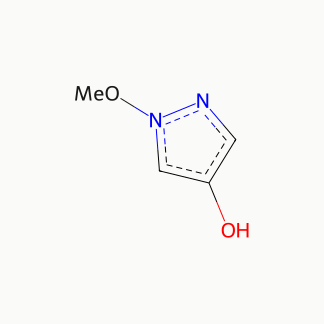 COn1cc(O)cn1